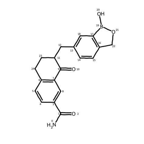 NC(=O)c1ccc2c(c1)C(=O)C(Cc1ccc3c(c1)B(O)OC3)CC2